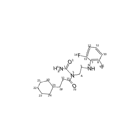 NC(=O)N(CCNc1c(F)cccc1F)C(=O)[CH]CC1CCCCC1